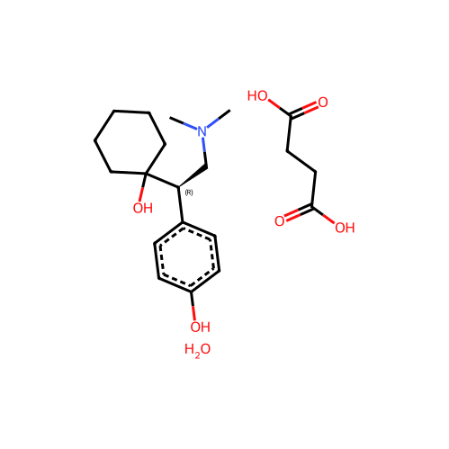 CN(C)C[C@@H](c1ccc(O)cc1)C1(O)CCCCC1.O.O=C(O)CCC(=O)O